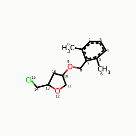 Cc1cccc(C)c1COC1COC(CCl)C1